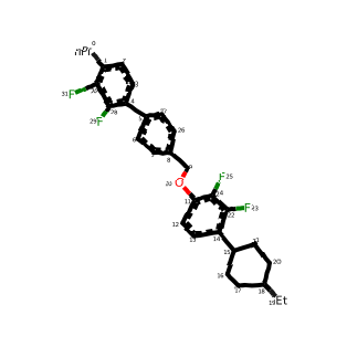 CCCc1ccc(-c2ccc(COc3ccc(C4CCC(CC)CC4)c(F)c3F)cc2)c(F)c1F